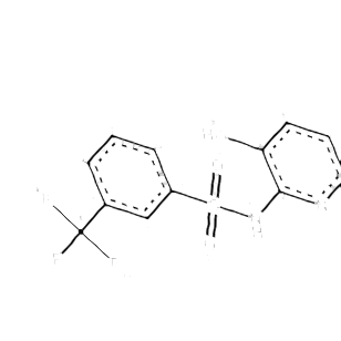 O=S(=O)(Nc1ncccc1O)c1cccc(C(F)(F)F)c1